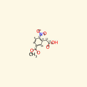 COC(=O)c1ccc([N+](=O)[O-])c(CC(=O)O)c1